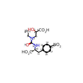 CC(C)CN(CC(O)C(=O)O)C(=O)N[C@@H](Cc1ccc([N+](=O)[O-])cc1)C(=O)O